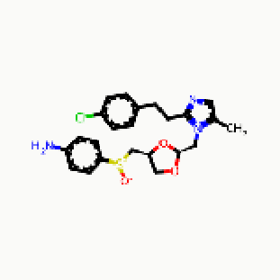 Cc1cnc(CCc2ccc(Cl)cc2)n1C[C@H]1OC[C@@H](C[S+]([O-])c2ccc(N)cc2)O1